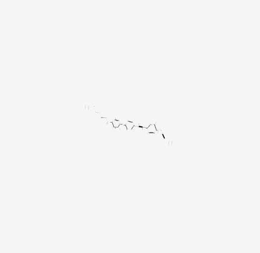 CC#CCc1ccc(C#Cc2ccc(-c3ccc(CCCCCC)cc3)cc2)cc1